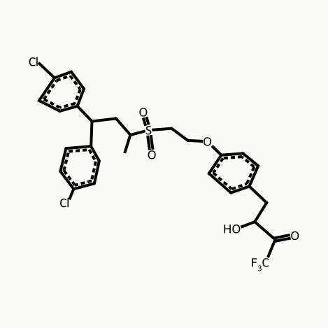 CC(CC(c1ccc(Cl)cc1)c1ccc(Cl)cc1)S(=O)(=O)CCOc1ccc(CC(O)C(=O)C(F)(F)F)cc1